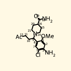 COc1cc(N)c(Cl)cc1C(CCC(C)=O)N1CCC(C(N)=O)CC1